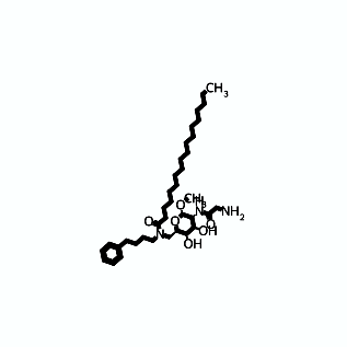 CCCCCCCCCCCCCCCCCC(=O)N(CCCCc1ccccc1)C[C@H]1O[C@H](OC)[C@H](NC(=O)CN)[C@@H](O)[C@@H]1O